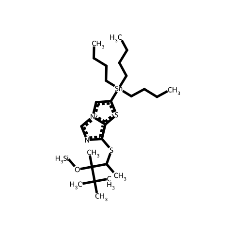 CCC[CH2][Sn]([CH2]CCC)([CH2]CCC)[c]1cn2cnc(SC(C)C(C)(O[SiH3])C(C)(C)C)c2s1